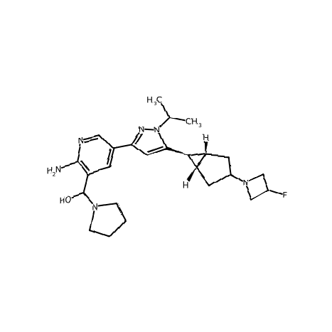 CC(C)n1nc(-c2cnc(N)c(C(O)N3CCCC3)c2)cc1[C@H]1[C@@H]2CC(N3CC(F)C3)C[C@@H]21